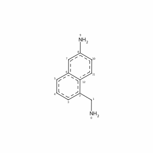 NCc1cccc2cc(N)ccc12